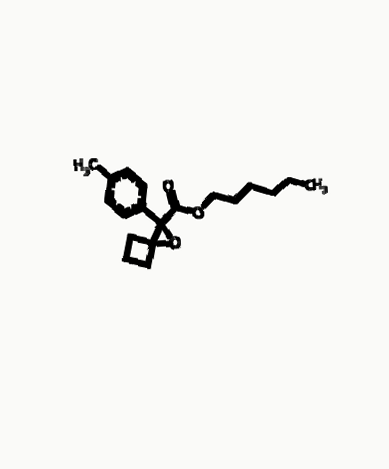 CCCCCCOC(=O)C1(c2ccc(C)cc2)OC12CCC2